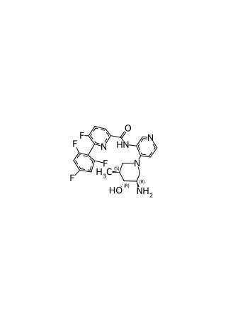 C[C@H]1CN(c2ccncc2NC(=O)c2ccc(F)c(-c3c(F)cc(F)cc3F)n2)C[C@@H](N)[C@@H]1O